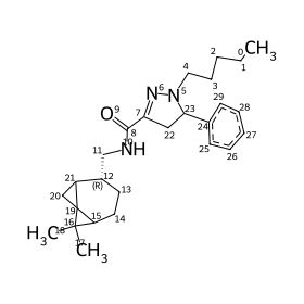 CCCCCN1N=C(C(=O)NC[C@@H]2CCC3C(C)(C)C34CC24)CC1c1ccccc1